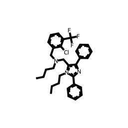 CCCCN(Cc1cccc(C(F)(F)F)c1Cl)Cc1c(-c2ccccc2)nc(-c2ccccc2)n1CCCC